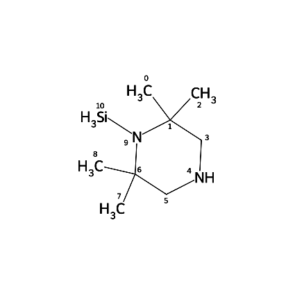 CC1(C)CNCC(C)(C)N1[SiH3]